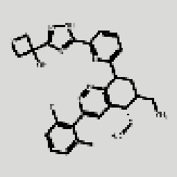 CCC1CC(c2cccc(-c3nc(C4(O)COC4)n[nH]3)n2)c2nnc(-c3c(F)cccc3F)cc2[C@H]1CC